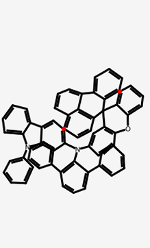 c1ccc(-c2cccc(-c3ccccc3)c2N(c2ccc3c(c2)C2(c4ccccc4O3)c3ccccc3-c3cccc4cccc2c34)c2ccc3c4ccccc4n(-c4ccccc4)c3c2)cc1